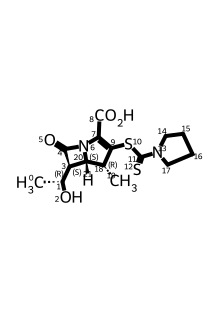 C[C@@H](O)[C@H]1C(=O)N2C(C(=O)O)=C(SC(=S)N3CCCC3)[C@H](C)[C@H]12